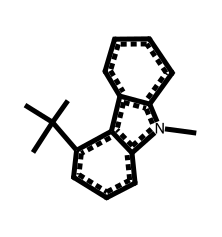 Cn1c2ccccc2c2c(C(C)(C)C)cccc21